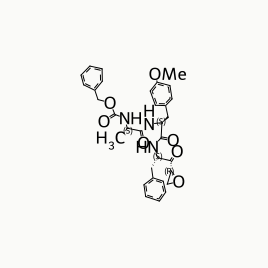 COc1ccc(C[C@H](NC(=O)[C@H](C)NC(=O)OCc2ccccc2)C(=O)N[C@@H](Cc2ccccc2)C(=O)[C@H]2CO2)cc1